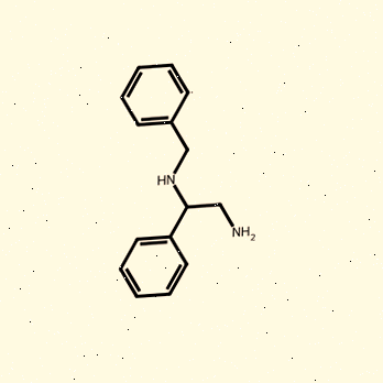 NCC(NCc1[c]cccc1)c1ccccc1